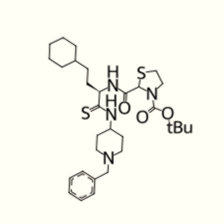 CC(C)(C)OC(=O)N1CCSC1C(=O)N[C@H](CCC1CCCCC1)C(=S)NC1CCN(Cc2ccccc2)CC1